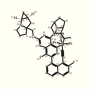 CC1Oc2nc(-c3cccc4ccc(F)c(C#C[Si](C(C)C)(C(C)C)C(C)C)c34)c(F)c3nc(OCC45CCCN4[C@H]4C[C@H]4C5)nc(c23)N2CC3CCC(C12)N3C(=O)O